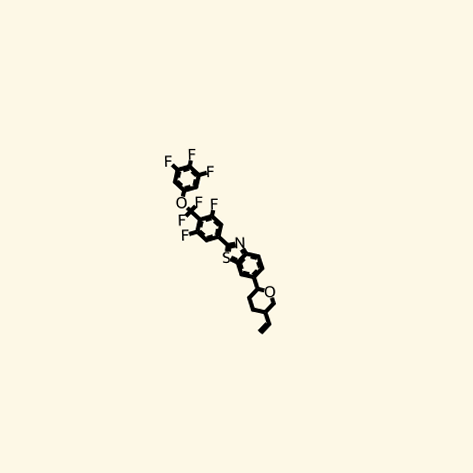 C=CC1CCC(c2ccc3nc(-c4cc(F)c(C(F)(F)Oc5cc(F)c(F)c(F)c5)c(F)c4)sc3c2)OC1